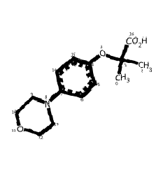 CC(C)(Oc1ccc(N2CCOCC2)cc1)C(=O)O